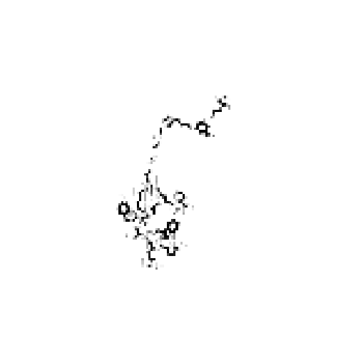 Cc1n[nH]c(C)c1CCCOc1cc(OCCCc2cn(CCOCCOCCOCCC(=O)NCCCCC(NC(=O)C(Cc3ccc(O)cc3)NC(=O)C(CO)NC(=O)C(Cc3c[nH]c4ccccc34)NC(=O)C(Cc3c[nH]cn3)NC(=O)C3CCC(=O)N3)C(=O)NC(CC(C)C)C(=O)NC(CCCNN)C(=O)N3CCCC3C(N)=O)nn2)cc(C(=O)O)c1